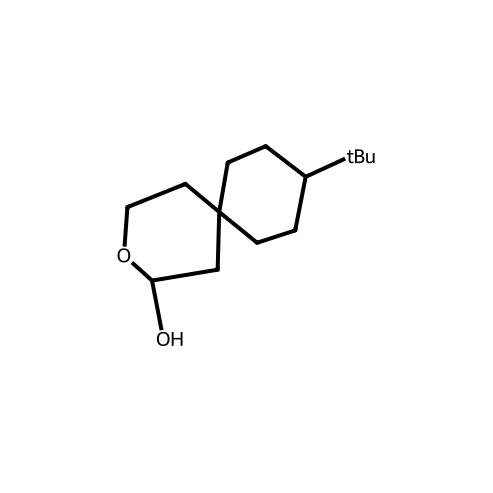 CC(C)(C)C1CCC2(CCOC(O)C2)CC1